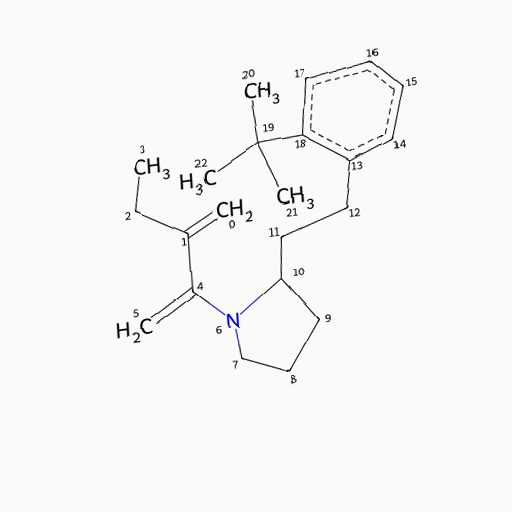 C=C(CC)C(=C)N1CCCC1CCc1ccccc1C(C)(C)C